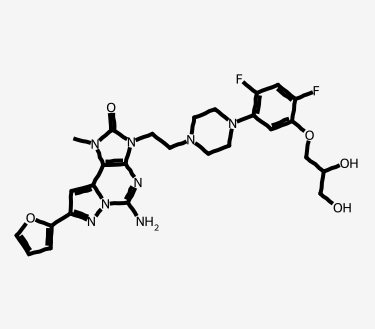 Cn1c(=O)n(CCN2CCN(c3cc(OCC(O)CO)c(F)cc3F)CC2)c2nc(N)n3nc(-c4ccco4)cc3c21